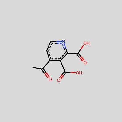 CC(=O)c1ccnc(C(=O)O)c1C(=O)O